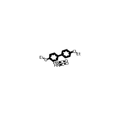 CCOc1ccc(-c2ccc(OCC)cc2)cc1.N=C=O.N=C=O